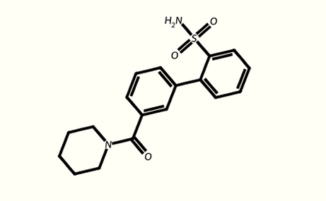 NS(=O)(=O)c1ccccc1-c1cccc(C(=O)N2CCCCC2)c1